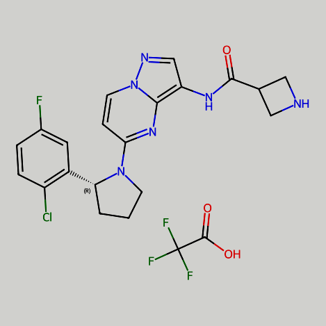 O=C(Nc1cnn2ccc(N3CCC[C@@H]3c3cc(F)ccc3Cl)nc12)C1CNC1.O=C(O)C(F)(F)F